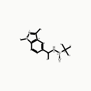 Cc1nn(C)c2ccc(C(C)N[S@+]([O-])C(C)(C)C)cc12